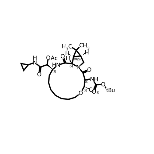 CC(=O)OC(C(=O)NC1CC1)[C@@H]1CCCCCCCO[C@@H](C)[C@H](NC(=O)OC(C)(C)C)C(=O)N2C[C@H]3[C@@H]([C@H]2C(=O)N1)C3(C)C